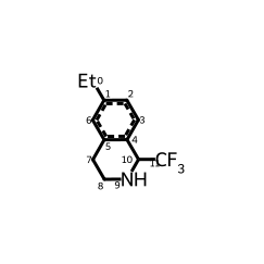 CCc1ccc2c(c1)CCNC2C(F)(F)F